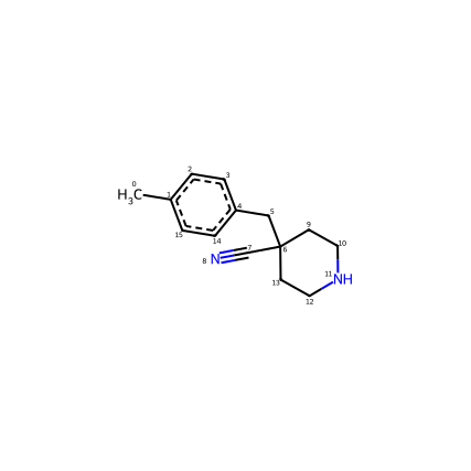 Cc1ccc(CC2(C#N)CCNCC2)cc1